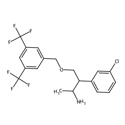 CC(N)C(COCc1cc(C(F)(F)F)cc(C(F)(F)F)c1)c1cccc(Cl)c1